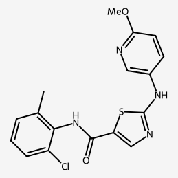 COc1ccc(Nc2ncc(C(=O)Nc3c(C)cccc3Cl)s2)cn1